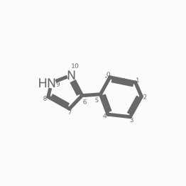 [c]1ccccc1-c1cc[nH]n1